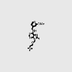 COc1cc(CNc2ncnc3c2nc(I)n3COCC[Si](C)(C)C)ccn1